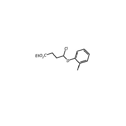 CCOC(=O)CCC(Cl)Oc1ccccc1C